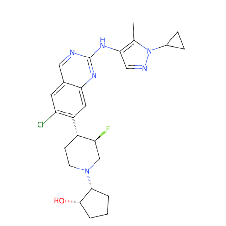 Cc1c(Nc2ncc3cc(Cl)c([C@H]4CCN([C@@H]5CCC[C@@H]5O)C[C@@H]4F)cc3n2)cnn1C1CC1